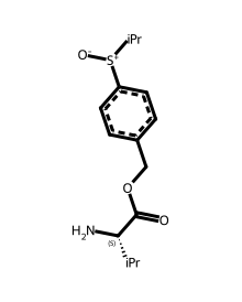 CC(C)[C@H](N)C(=O)OCc1ccc([S+]([O-])C(C)C)cc1